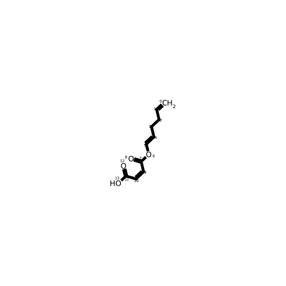 C=CCCC=COC(=O)/C=C\C(=O)O